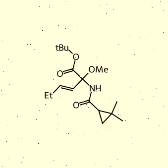 CCC=CC(NC(=O)C1CC1(C)C)(OC)C(=O)OC(C)(C)C